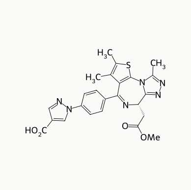 COC(=O)C[C@@H]1N=C(c2ccc(-n3cc(C(=O)O)cn3)cc2)c2c(sc(C)c2C)-n2c(C)nnc21